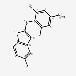 Cc1ccc2sc(Sc3c(C)cc([N+](=O)[O-])cc3C)nc2c1